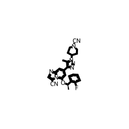 Cc1c(-c2cc(O[C@H](C)c3ccccc3F)n3c(C#N)cnc3c2)nnn1C1CCN(C#N)CC1